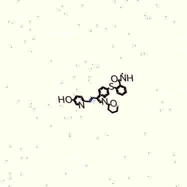 CNC(=O)c1ccccc1Sc1ccc2c(/C=C/c3ccc(O)cn3)cn(C3CCCCO3)c2c1